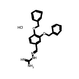 Cl.N=C(N)NN=Cc1ccc(OCc2ccccc2)c(OCc2ccccc2)c1